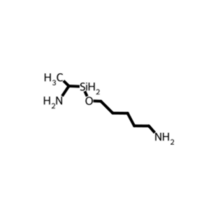 CC(N)[SiH2]OCCCCCN